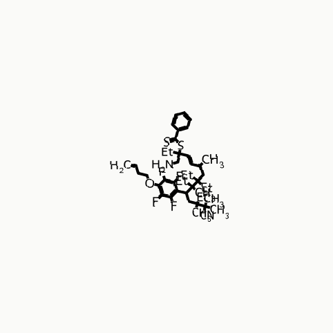 C=CCCOc1c(F)c(F)c(C(CC(C)(CC)C(C)(C)C#N)C(C)(CC)C(CC)(CC)CC(C)C=CC(CC)(CN)SC(=S)c2ccccc2)c(F)c1F